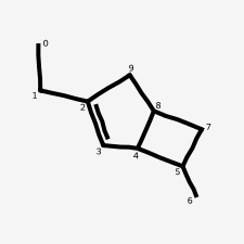 CCC1=CC2C(C)CC2C1